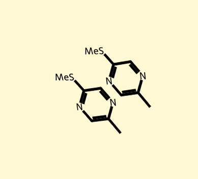 CSc1cnc(C)cn1.CSc1cnc(C)cn1